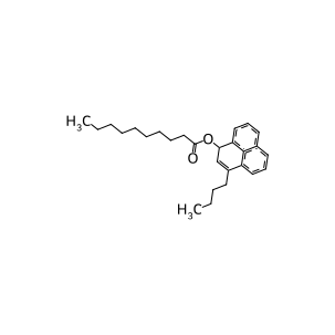 CCCCCCCCCC(=O)OC1C=C(CCCC)c2cccc3cccc1c23